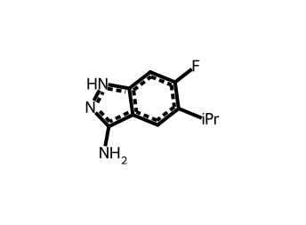 CC(C)c1cc2c(N)n[nH]c2cc1F